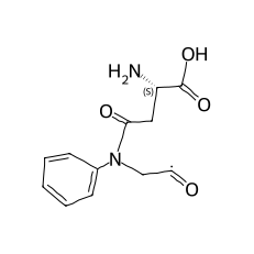 N[C@@H](CC(=O)N(C[C]=O)c1ccccc1)C(=O)O